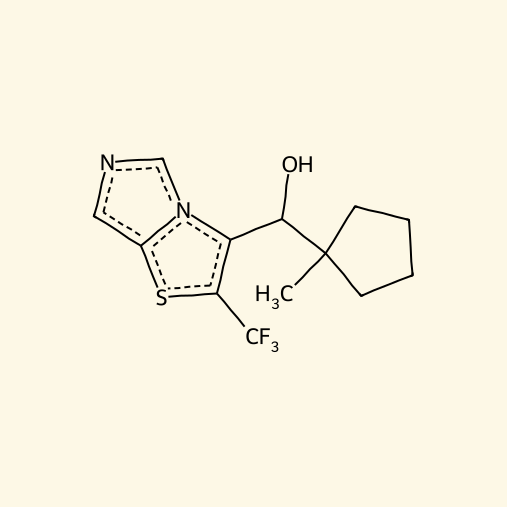 CC1(C(O)c2c(C(F)(F)F)sc3cncn23)CCCC1